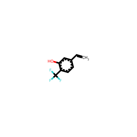 C=Cc1ccc(C(F)(F)F)c(O)c1